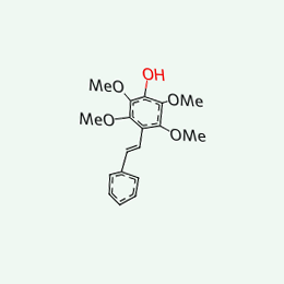 COc1c(O)c(OC)c(OC)c(C=Cc2ccccc2)c1OC